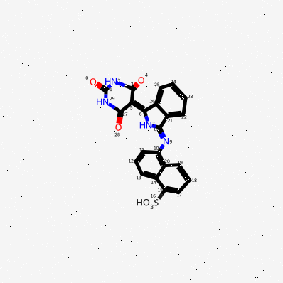 O=C1NC(=O)C(=C2N/C(=N\c3cccc4c(S(=O)(=O)O)cccc34)c3ccccc32)C(=O)N1